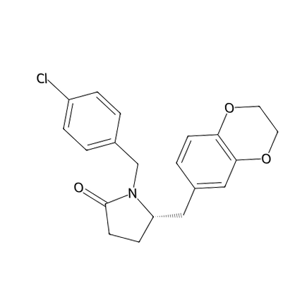 O=C1CC[C@@H](Cc2ccc3c(c2)OCCO3)N1Cc1ccc(Cl)cc1